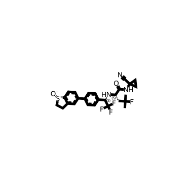 CC(C)(F)C[C@H](N[C@@H](c1ccc(-c2ccc3c(c2)CC[S+]3[O-])cc1)C(F)(F)F)C(=O)NC1(C#N)CC1